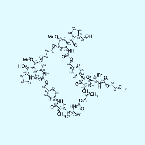 C=CCOC(=O)N[C@H](C(=O)N[C@@H](C)C(=O)Nc1ccc(COC(=O)Nc2cc(OCCCOc3cc(NC(=O)OCc4ccc(NC(=O)[C@H](C)NC(=O)[C@@H](NC(=O)OCC=C)C(C)C)cc4)c(C(=O)N4CCC[C@H]4CO)cc3OC)c(OC)cc2C(=O)N2CCC[C@H]2CO)cc1)C(C)C